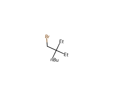 CCCCC(CC)(CC)CBr